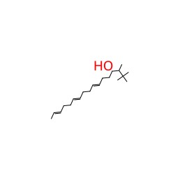 CC=CCCC=CCCC=CCCC(O)C(C)C(C)(C)C